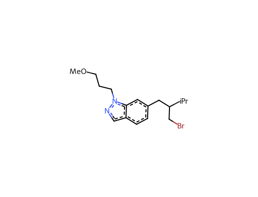 COCCCn1ncc2ccc(CC(CBr)C(C)C)cc21